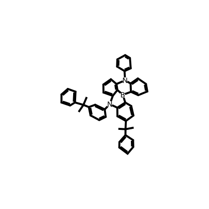 CC(C)(c1ccccc1)c1cccc(N2c3cc(C(C)(C)c4ccccc4)ccc3B3c4ccccc4N(c4ccccc4)c4cccc2c43)c1